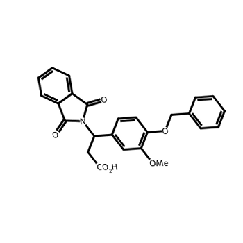 COc1cc(C(CC(=O)O)N2C(=O)c3ccccc3C2=O)ccc1OCc1ccccc1